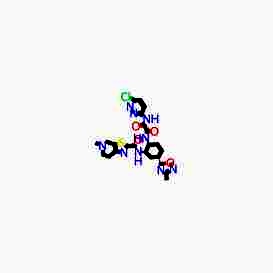 Cc1noc([C@H]2CC[C@H](NC(=O)C(=O)Nc3ccc(Cl)nn3)[C@H](NC(=O)c3nc4c(s3)CN(C)CC4)C2)n1